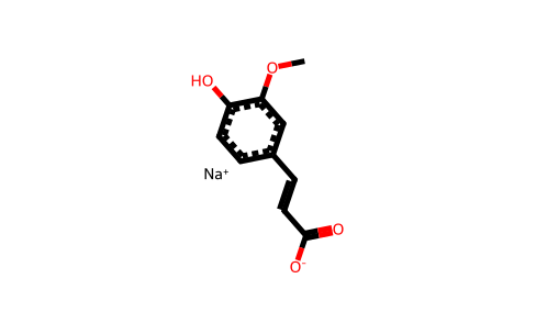 COc1cc(C=CC(=O)[O-])ccc1O.[Na+]